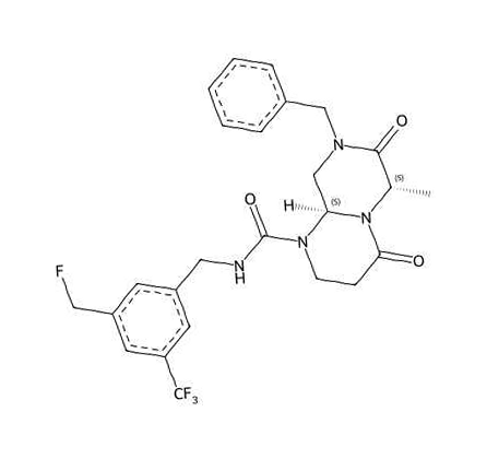 C[C@H]1C(=O)N(Cc2ccccc2)C[C@@H]2N(C(=O)NCc3cc(CF)cc(C(F)(F)F)c3)CCC(=O)N21